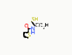 O=C(N[C@H](CS)C(=O)O)c1cccs1